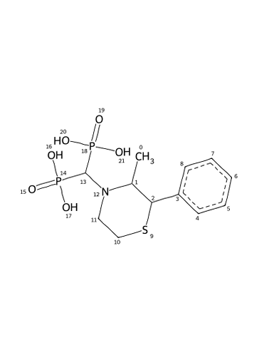 CC1C(c2ccccc2)SCCN1C(P(=O)(O)O)P(=O)(O)O